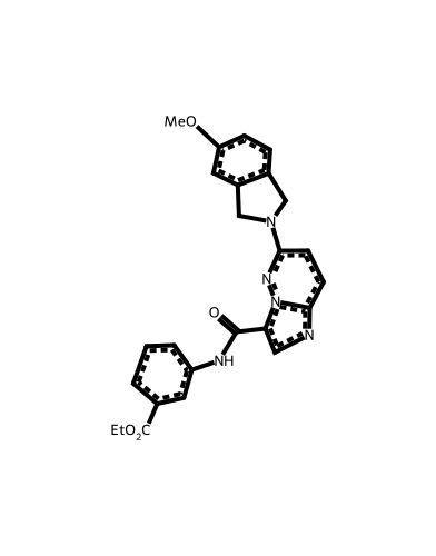 CCOC(=O)c1cccc(NC(=O)c2cnc3ccc(N4Cc5ccc(OC)cc5C4)nn23)c1